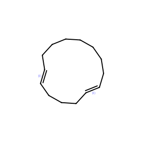 C1=C/CCCCCCC/C=C/CCC/1